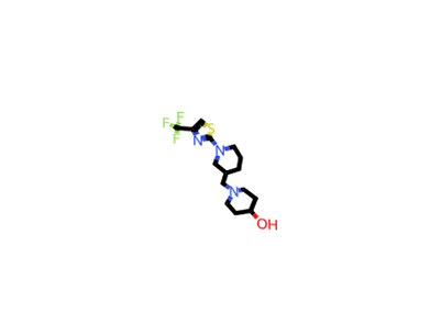 OC1CCN(CC2CCCN(c3nc(C(F)(F)F)cs3)C2)CC1